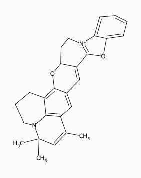 CC1=CC(C)(C)N2CCCc3c4c(cc1c32)C=C1c2oc3ccccc3[n+]2CCC1O4